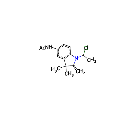 C=C1N(C(C)Cl)c2ccc(NC(C)=O)cc2C1(C)C